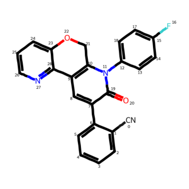 N#Cc1ccccc1-c1cc2c(n(-c3ccc(F)cc3)c1=O)COc1cccnc1-2